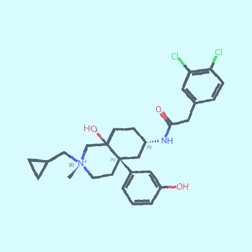 C[N@+]1(CC2CC2)CC[C@@]2(c3cccc(O)c3)C[C@@H](NC(=O)Cc3ccc(Cl)c(Cl)c3)CCC2(O)C1